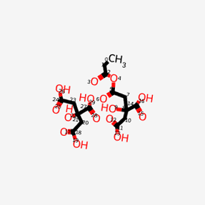 CCC(=O)OC(=O)CC(O)(CC(=O)O)C(=O)O.O=C(O)CC(O)(CC(=O)O)C(=O)O